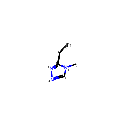 CC(C)Cc1nncn1C